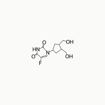 O=c1[nH]c(=O)n(C2CC(CO)C(CO)C2)cc1F